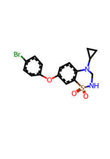 O=S1(=O)NCN(C2CC2)c2ccc(Oc3ccc(Br)cc3)cc21